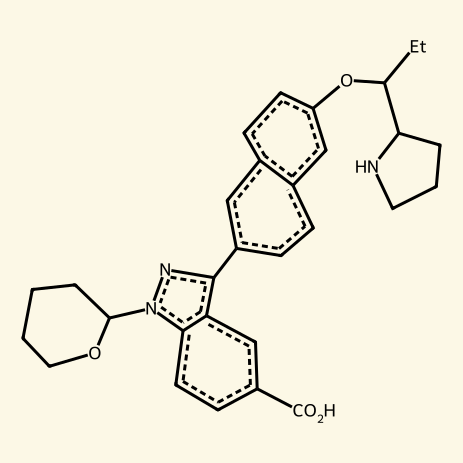 CCC(Oc1ccc2cc(-c3nn(C4CCCCO4)c4ccc(C(=O)O)cc34)ccc2c1)C1CCCN1